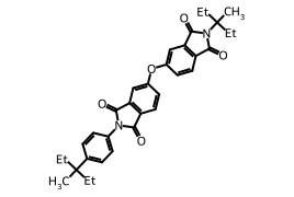 CCC(C)(CC)c1ccc(N2C(=O)c3ccc(Oc4ccc5c(c4)C(=O)N(C(C)(CC)CC)C5=O)cc3C2=O)cc1